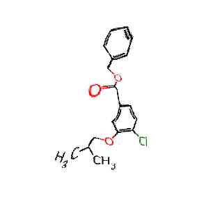 CC(C)COc1cc(C(=O)OCc2ccccc2)ccc1Cl